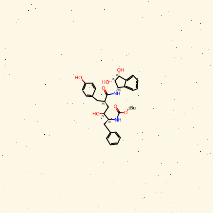 CC(C)(C)OC(=O)N[C@@H](Cc1ccccc1)[C@@H](O)C[C@@H](Cc1ccc(O)cc1)C(=O)N[C@H]1c2ccccc2[C@@H](O)[C@H]1O